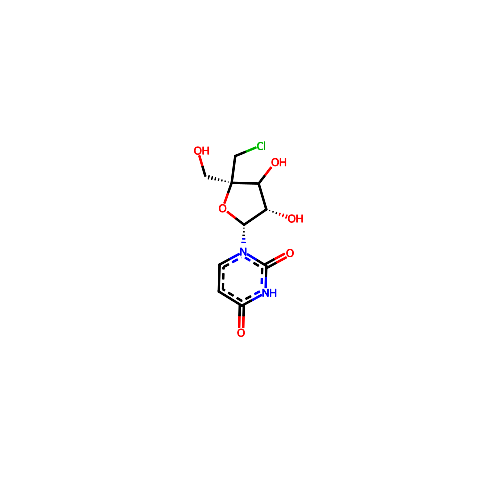 O=c1ccn([C@@H]2O[C@@](CO)(CCl)C(O)[C@@H]2O)c(=O)[nH]1